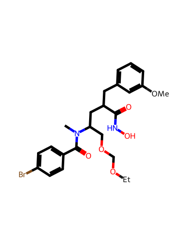 CCOCOCC(CC(Cc1cccc(OC)c1)C(=O)NO)N(C)C(=O)c1ccc(Br)cc1